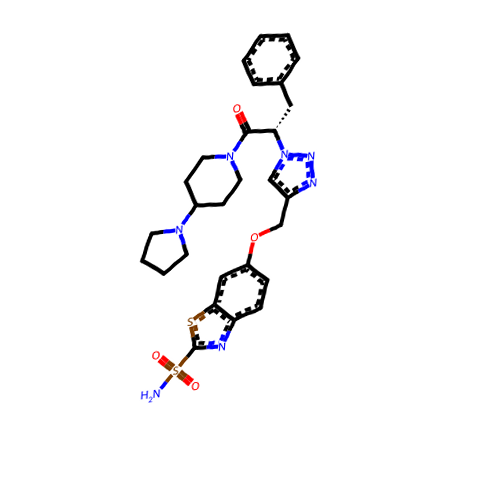 NS(=O)(=O)c1nc2ccc(OCc3cn([C@@H](Cc4ccccc4)C(=O)N4CCC(N5CCCC5)CC4)nn3)cc2s1